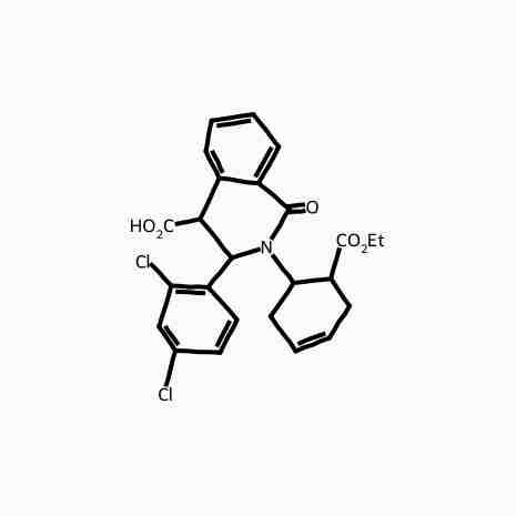 CCOC(=O)C1CC=CCC1N1C(=O)c2ccccc2C(C(=O)O)C1c1ccc(Cl)cc1Cl